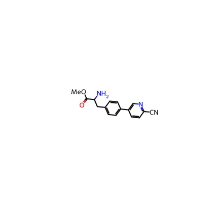 COC(=O)C(N)Cc1ccc(-c2ccc(C#N)nc2)cc1